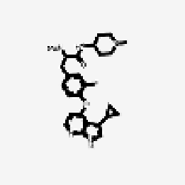 CNC(Cc1ccc(Oc2ccnc3[nH]cc(C4CC4)c23)c(F)c1)C(=O)NC1CCN(C)CC1